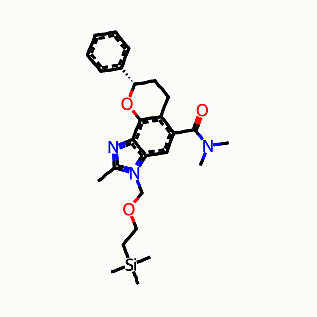 Cc1nc2c3c(c(C(=O)N(C)C)cc2n1COCC[Si](C)(C)C)CC[C@@H](c1ccccc1)O3